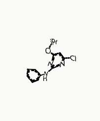 CC(C)Oc1cc(Cl)nc(Nc2ccccc2)n1